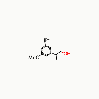 [CH2]C(CO)c1cc(OC)cc(C(C)C)c1